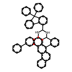 c1ccc(-c2ccc(C3NC(c4ccccc4-c4c5ccccc5cc5c4ccc4ccccc45)NC(c4cccc5c4-c4ccccc4C5(c4ccccc4)c4ccccc4)N3)cc2)cc1